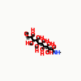 [NH]C(=O)[C@H](O)[C@@H](O)[C@H](O)[C@H](O)[C@H](O)[C@@H](O)[C@H](O)[C@H](O)[C]=O